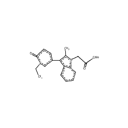 COC(=O)Cn1c(C)c(-c2ccc(=O)n(CC(F)(F)F)c2)c2ccccc21